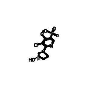 COc1c(S(=O)(=O)Cl)cnc(N2CC[C@H](O)C2)c1Cl